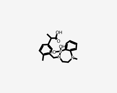 Cc1ccc(C(C)C(=O)O)cc1CN1CCN(C)c2ccccc2S1(O)O